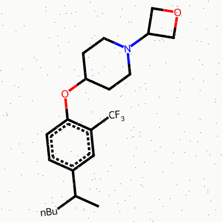 CCCCC(C)c1ccc(OC2CCN(C3COC3)CC2)c(C(F)(F)F)c1